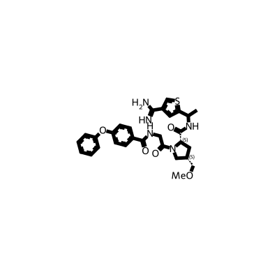 COC[C@H]1C[C@@H](C(=O)NC(C)c2cc(C(=N)N)cs2)N(C(=O)CNC(=O)c2ccc(Oc3ccccc3)cc2)C1